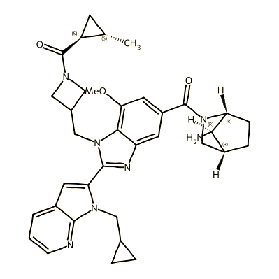 COc1cc(C(=O)N2C[C@H]3CC[C@@H]2[C@@H]3N)cc2nc(-c3cc4cccnc4n3CC3CC3)n(CC3CN(C(=O)[C@H]4C[C@@H]4C)C3)c12